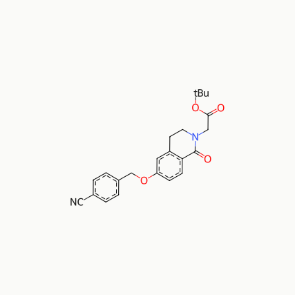 CC(C)(C)OC(=O)CN1CCc2cc(OCc3ccc(C#N)cc3)ccc2C1=O